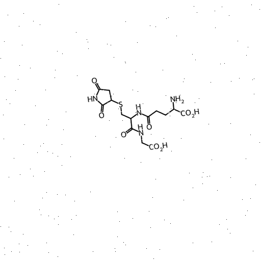 NC(CCC(=O)NC(CSC1CC(=O)NC1=O)C(=O)NCC(=O)O)C(=O)O